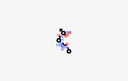 COc1c(NC(=O)c2ccc(F)c(N3C=C(C(=O)NCc4ccccc4)NN3)c2)cc(C(C)(C)C)cc1NS(C)(=O)=O